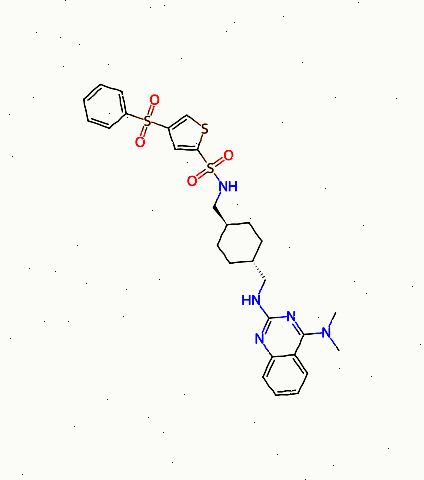 CN(C)c1nc(NC[C@H]2CC[C@H](CNS(=O)(=O)c3cc(S(=O)(=O)c4ccccc4)cs3)CC2)nc2ccccc12